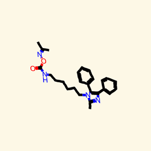 CC(C)=NOC(=O)NCCCCCCn1c(C)nc(-c2ccccc2)c1-c1ccccc1